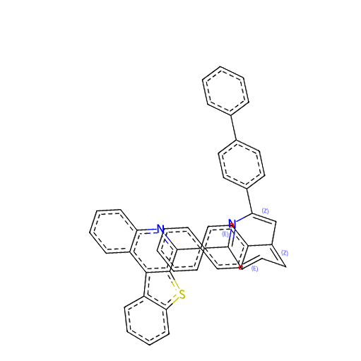 C1=C(c2ccc(-c3nc4ccccc4c4c3sc3ccccc34)cc2)/C=C(c2ccc(-c3ccccc3)cc2)\N=C(c2ccccc2)/C=C/1